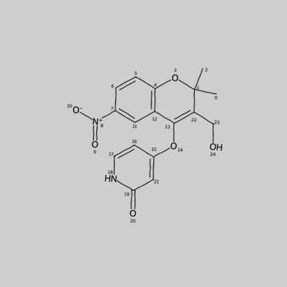 CC1(C)Oc2ccc([N+](=O)[O-])cc2C(Oc2cc[nH]c(=O)c2)=C1CO